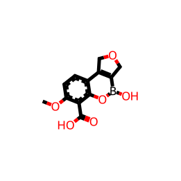 COc1ccc2c(c1C(=O)O)OB(O)C1=C2COC1